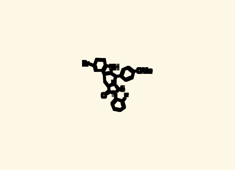 COc1ccc(C2c3[nH]c4ccc(Br)cc4c3CC3C(=O)N(c4ccccc4F)C(=S)N32)cc1